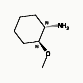 CO[C@H]1CCCC[C@@H]1N